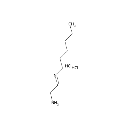 CCCCCCN=CCN.Cl.Cl